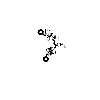 CC=C(NCCCC(C)CNC(=O)C(=O)NCc1ccccc1)C(=O)NCc1ccccc1